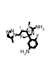 CS/C(N)=N\[C@](CF)(c1cc(N)ccc1F)[C@H](C)[C@@H](C)Cn1nncc1C